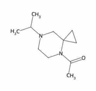 CC(=O)N1CCN(C(C)C)CC12CC2